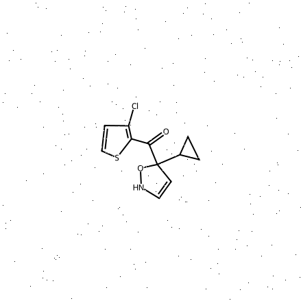 O=C(c1sccc1Cl)C1(C2CC2)C=CNO1